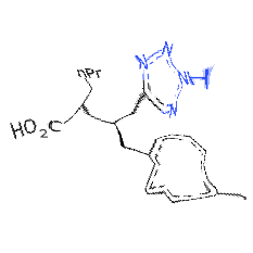 CCCC(C(=O)O)[C@H](Cc1ccc(C)cc1)c1nn[nH]n1